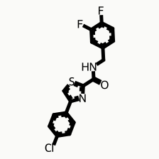 O=C(NCc1ccc(F)c(F)c1)c1nc(-c2ccc(Cl)cc2)cs1